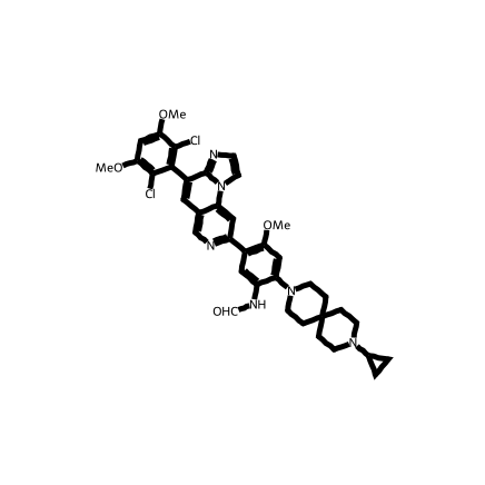 COc1cc(N2CCC3(CC2)CCN(C2CC2)CC3)c(NC=O)cc1-c1cc2c(cn1)cc(-c1c(Cl)c(OC)cc(OC)c1Cl)c1nccn12